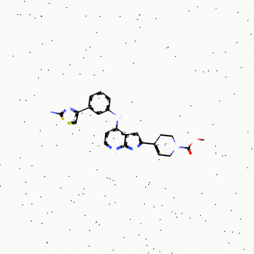 CC(C)(C)OC(=O)N1CC=C(c2cc3c(Nc4cccc(-c5csc(N)n5)c4)ccnc3[nH]2)CC1